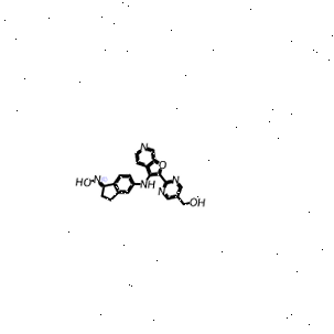 OCc1cnc(-c2oc3cnccc3c2Nc2ccc3c(c2)CC/C3=N\O)nc1